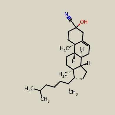 CC(C)CCC[C@@H](C)[C@H]1CC[C@H]2[C@@H]3CC=C4CC(O)(C#N)CC[C@]4(C)[C@H]3CC[C@]12C